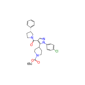 CC(C)(C)OC(=O)N1CCC(c2c(C(=O)N3CC[C@H](c4ccccc4)C3)cnn2-c2ccc(Cl)cc2)CC1